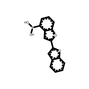 OB(O)c1cccc2oc(-c3cc4ccccc4o3)cc12